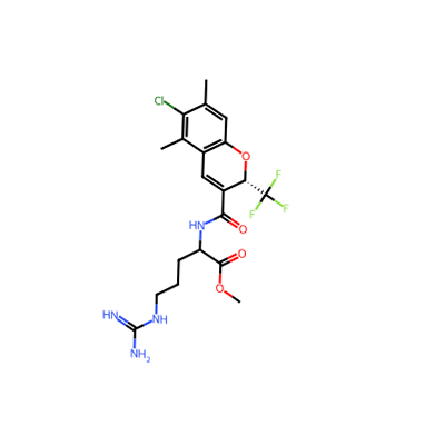 COC(=O)C(CCCNC(=N)N)NC(=O)C1=Cc2c(cc(C)c(Cl)c2C)O[C@@H]1C(F)(F)F